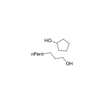 CCCCCCCCO.OC1CCCC1